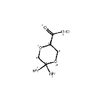 CCCC1(CCC)COC(C(=O)C=O)CO1